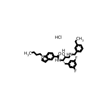 CCCCn1ccc2cc(C(=O)N[C@@H](Cc3cc(F)cc(F)c3)[C@@H](O)CNCc3cccc(CC)c3)ccc21.Cl